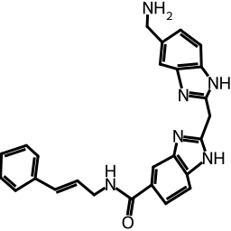 NCc1ccc2[nH]c(Cc3nc4cc(C(=O)NCC=Cc5ccccc5)ccc4[nH]3)nc2c1